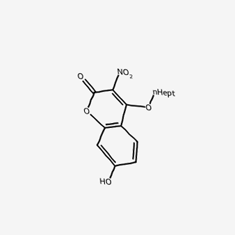 CCCCCCCOc1c([N+](=O)[O-])c(=O)oc2cc(O)ccc12